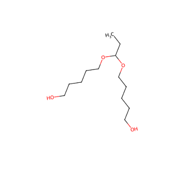 CCC(OCCCCCO)OCCCCCO